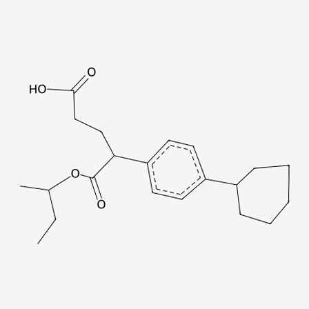 CCC(C)OC(=O)C(CCC(=O)O)c1ccc(C2CCCCC2)cc1